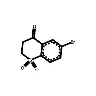 O=C1CCS(=O)(=O)c2ccc(Br)cc21